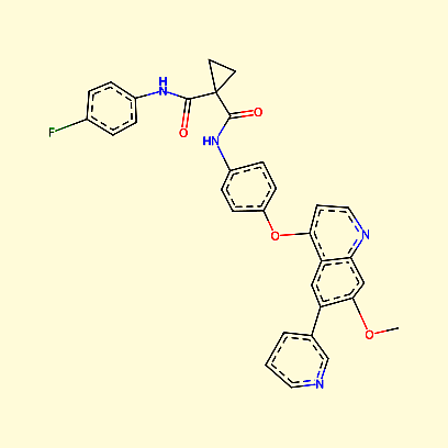 COc1cc2nccc(Oc3ccc(NC(=O)C4(C(=O)Nc5ccc(F)cc5)CC4)cc3)c2cc1-c1cccnc1